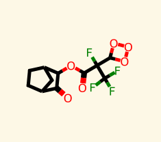 O=C1C2CCC(C2)C1OC(=O)C(F)(C1OOO1)C(F)(F)F